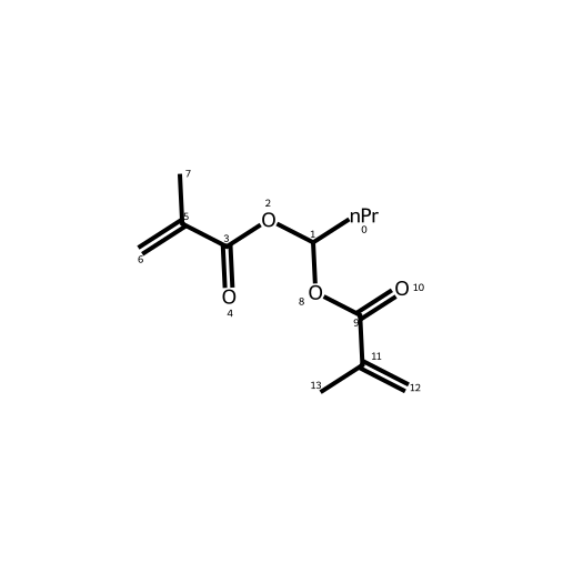 [CH2]CCC(OC(=O)C(=C)C)OC(=O)C(=C)C